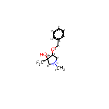 CN1CC(OCc2ccccc2)C(O)(C(F)(F)F)C1